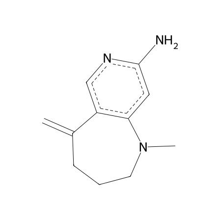 C=C1CCCN(C)c2cc(N)ncc21